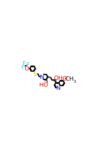 COc1ccc2nccc([C@@H](O)CC[C@@H]3CCN(CCSc4cccc(OC(F)(F)F)c4)C[C@@H]3CO)c2c1